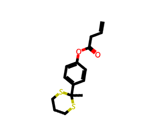 C=CCC(=O)Oc1ccc(C2(C)SCCCS2)cc1